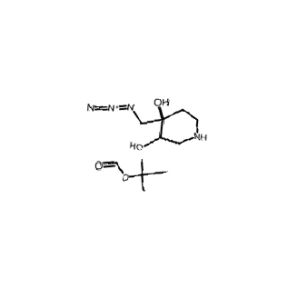 CC(C)(C)OC=O.[N-]=[N+]=NCC1(O)CCNCC1O